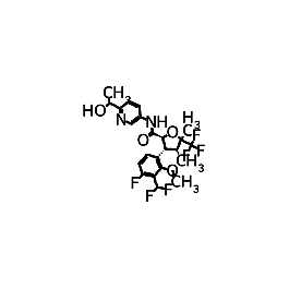 COc1c([C@@H]2[C@@H](C(=O)Nc3ccc([C@H](C)O)nc3)O[C@](C)(C(F)(F)F)[C@@H]2C)ccc(F)c1C(F)F